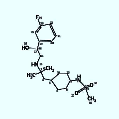 CC(C)(CC1CCC(NS(C)(=O)=O)CC1)NC[C@H](O)c1cccc(F)c1